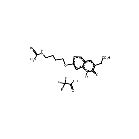 CCn1c(=O)c(CC(=O)O)cc2ccc(OCCCCNC(=N)N)cc21.O=C(O)C(F)(F)F